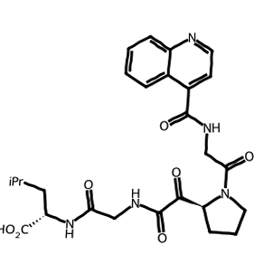 CC(C)C[C@H](NC(=O)CNC(=O)C(=O)[C@@H]1CCCN1C(=O)CNC(=O)c1ccnc2ccccc12)C(=O)O